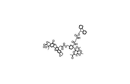 CC[C@@]1(O)C(=O)OCc2c1cc1n(c2=O)Cc2c-1nc1cc3c(cc1c2CNC(=O)OCc1ccc(O[C@@H]2O[C@H](C(C)=O)[C@@H](C)[C@H](OC(C)=O)[C@H]2OC(C)=O)c(NC(=O)CCNC(=O)OCC2c4ccccc4-c4ccccc42)c1)CCO3